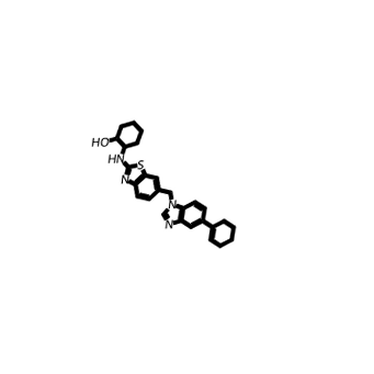 OC1CCCCC1Nc1nc2ccc(Cn3cnc4cc(C5=CCCCC5)ccc43)cc2s1